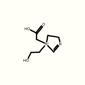 O=C(O)C[N+]1(CCO)C=NCC1